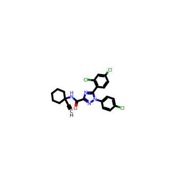 C#CC1(NC(=O)c2nc(-c3ccc(Cl)cc3Cl)n(-c3ccc(Cl)cc3)n2)CCCCC1